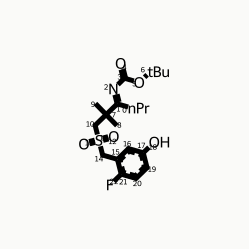 CCCC(=NC(=O)OC(C)(C)C)C(C)(C)CS(=O)(=O)Cc1cc(O)ccc1F